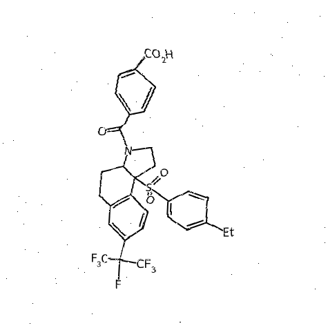 CCc1ccc(S(=O)(=O)C23CCN(C(=O)c4ccc(C(=O)O)cc4)C2CCc2cc(C(F)(C(F)(F)F)C(F)(F)F)ccc23)cc1